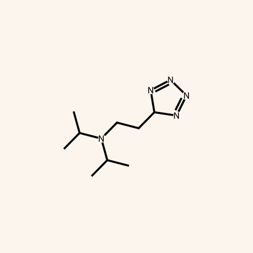 CC(C)N(CCC1N=NN=N1)C(C)C